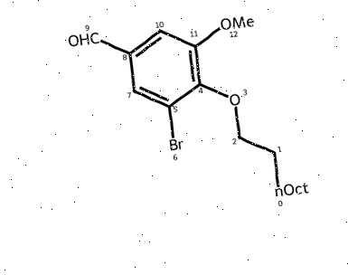 CCCCCCCCCCOc1c(Br)cc(C=O)cc1OC